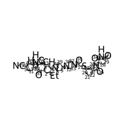 CCc1cc2c(cc1N1CCC(N3CCN(C(=O)CSc4cccc5c4CN(C4CCC(=O)NC4=O)C5=O)CC3)CC1)C(C)(C)c1[nH]c3cc(C#N)ccc3c1C2=O